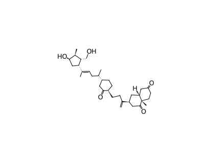 C=C(CC[C@@H]1CC[C@@H](C(C)C/C=C(\C)[C@@H]2C[C@@H](O)[C@@H](C)[C@@H]2CO)CC1=O)[C@@H]1CC(=O)[C@@]2(C)CCC(=O)C[C@H]2C1